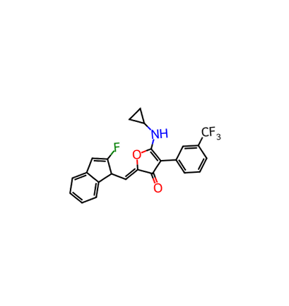 O=C1C(c2cccc(C(F)(F)F)c2)=C(NC2CC2)O/C1=C\C1C(F)=Cc2ccccc21